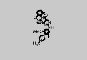 COc1cc(Nc2ncc3c(n2)N2CCN=C2N(c2c(Cl)cccc2Cl)C3=O)cc(F)c1N1CCN(C)CC1